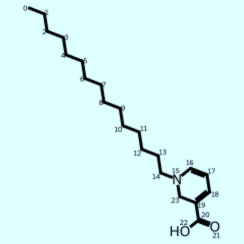 CCCCCCCCCCCCCCCN1C=CC=C(C(=O)O)C1